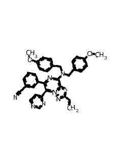 C=Cc1nc2c(N(Cc3ccc(OC)cc3)Cc3ccc(OC)cc3)nc(-c3cccc(C#N)c3)c(-c3ccncn3)n2n1